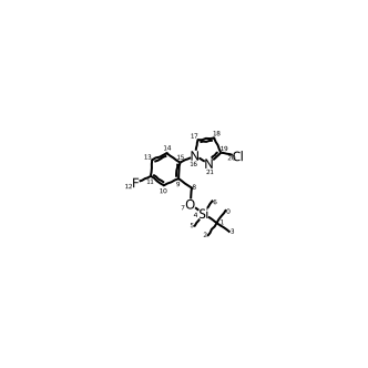 CC(C)(C)[Si](C)(C)OCc1cc(F)ccc1-n1ccc(Cl)n1